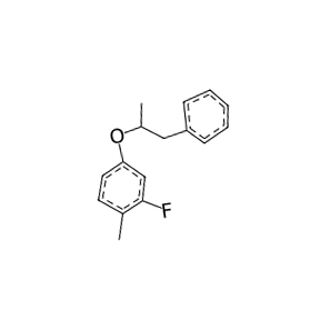 Cc1ccc(OC(C)Cc2ccccc2)cc1F